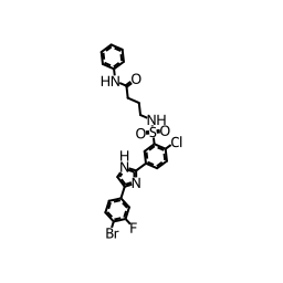 O=C(CCCNS(=O)(=O)c1cc(-c2nc(-c3ccc(Br)c(F)c3)c[nH]2)ccc1Cl)Nc1ccccc1